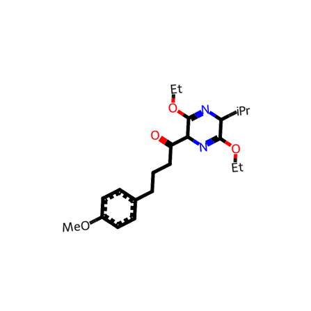 CCOC1=NC(C(C)C)C(OCC)=NC1C(=O)CCCc1ccc(OC)cc1